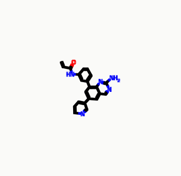 C=CC(=O)Nc1cccc(-c2cc(-c3cccnc3)cc3cnc(N)nc23)c1